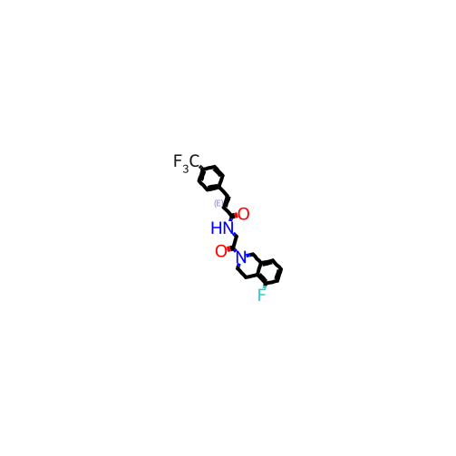 O=C(/C=C/c1ccc(C(F)(F)F)cc1)NCC(=O)N1CCc2c(F)cccc2C1